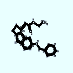 CCOC(=O)C=C1CCc2cc3ccc(OCc4ccccc4)cc3n21